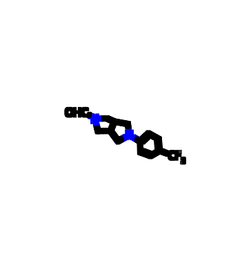 O=CN1CC2CN(c3ccc(C(F)(F)F)cc3)CC2C1